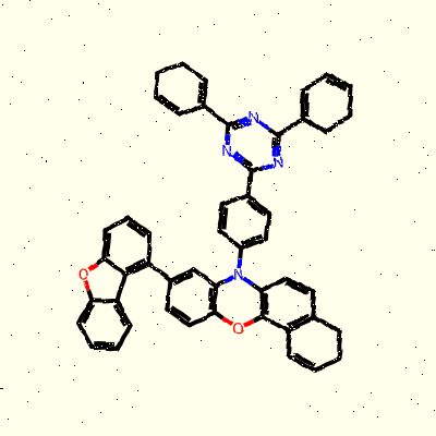 C1=CCCC(c2nc(C3=CCCC=C3)nc(-c3ccc(N4c5cc(-c6cccc7oc8ccccc8c67)ccc5Oc5c4ccc4c5C=CCC4)cc3)n2)=C1